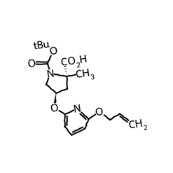 C=CCOc1cccc(O[C@H]2CN(C(=O)OC(C)(C)C)[C@](C)(C(=O)O)C2)n1